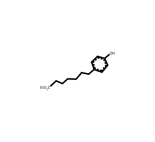 CCOC(=O)CCCCCCc1ccc(O)cc1